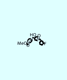 COC(=O)N1CCN(Cc2ccn(Cc3cccc(F)c3)c(=O)c2O)CC1